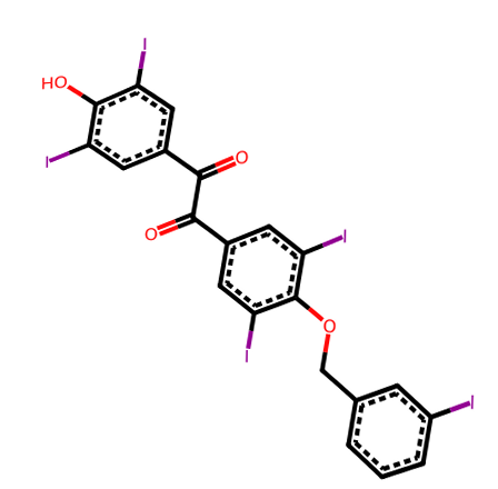 O=C(C(=O)c1cc(I)c(OCc2cccc(I)c2)c(I)c1)c1cc(I)c(O)c(I)c1